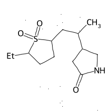 CCC1CCC(CC(C)C2CNC(=O)C2)S1(=O)=O